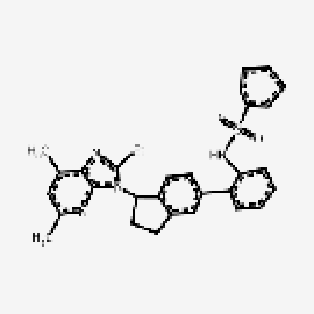 CCc1nc2c(C)cc(C)nc2n1C1CCc2cc(-c3ccccc3NS(=O)(=O)c3ccccc3)ccc21